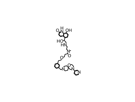 CN(CCNCC(O)c1ccc(O)c2[nH]c(=O)ccc12)C(=O)CCOCCc1cccc(CN2CCC3(CC2)CN(c2cccnc2)CCO3)c1